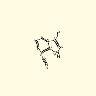 N#Cc1cccc2c(F)c[nH]c12